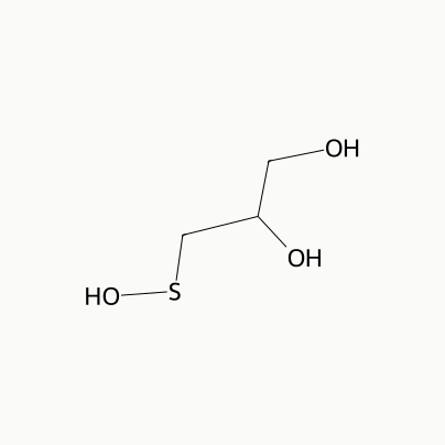 OCC(O)CSO